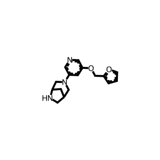 c1coc(COc2cncc(N3CC4CNC(C4)C3)c2)c1